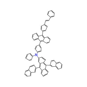 C(=C\c1ccc(-c2c3ccccc3c(-c3ccc(N(c4ccccc4)c4ccc5c(-c6ccc7ccccc7c6)c6ccccc6c(-c6ccc7ccccc7c6)c5c4)cc3)c3ccccc23)cc1)/c1ccccc1